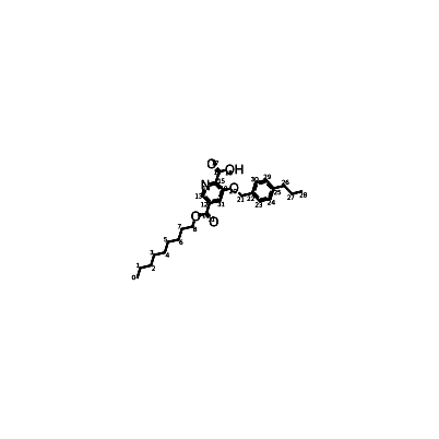 CCCCCCCCCOC(=O)c1cnc(C(=O)O)c(OCc2ccc(CCC)cc2)c1